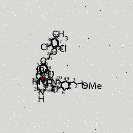 COCCCc1ccc(Cl)c(CN(C(=O)C2=C(c3ccc(OCCOc4c(Cl)cc(C)cc4Cl)cc3)C[C@@H]3CNC[C@H]2N3C(=O)OC(C)(C)C)C2CC2)c1